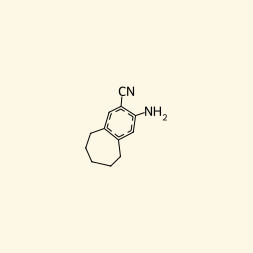 N#Cc1cc2c(cc1N)CCCCC2